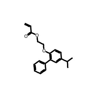 C=CC(=O)OCCOc1ccc(C(C)C)cc1-c1ccccc1